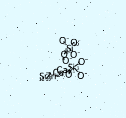 [Ca+2].[Ca+2].[O-][Si]([O-])([O-])[O-].[O-][Si]([O-])([O-])[O-].[Sr+2].[Zn+2]